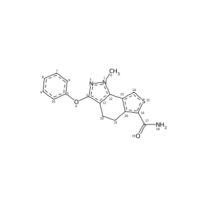 Cn1nc(Oc2ccccc2)c2c1-c1csc(C(N)=O)c1CC2